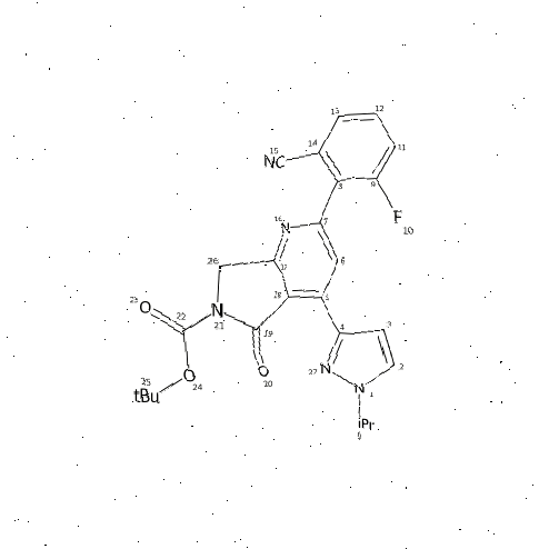 CC(C)n1ccc(-c2cc(-c3c(F)cccc3C#N)nc3c2C(=O)N(C(=O)OC(C)(C)C)C3)n1